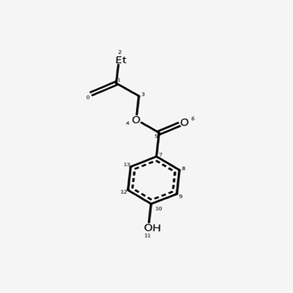 C=C(CC)COC(=O)c1ccc(O)cc1